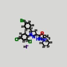 C[N+]1(NC(=O)C2=NN(c3ccc(Cl)cc3Cl)C(c3ccc(Br)cc3)C2)CCCCC1.[I-]